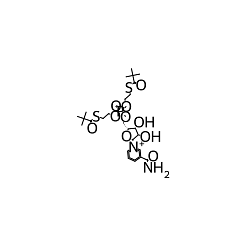 CC(C)(C)C(=O)SCCOP(=O)(OCCSC(=O)C(C)(C)C)OC[C@H]1O[C@@H]([n+]2cccc(C(N)=O)c2)C(O)C1O